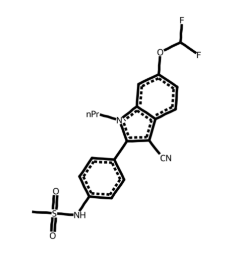 CCCn1c(-c2ccc(NS(C)(=O)=O)cc2)c(C#N)c2ccc(OC(F)F)cc21